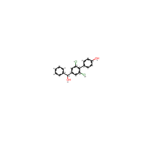 Oc1ccc(-c2c(Cl)cc(C(O)c3ccccc3)cc2Cl)cc1